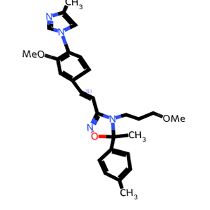 COCCCN1C(/C=C/c2ccc(-n3cnc(C)c3)c(OC)c2)=NOC1(C)c1ccc(C)cc1